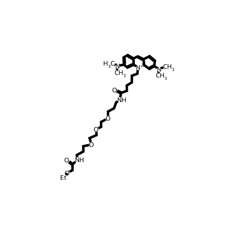 CCOCC(=O)NCCCOCCOCCOCCCNC(=O)CCCCC[n+]1c2cc(N(C)C)ccc2cc2ccc(N(C)C)cc21